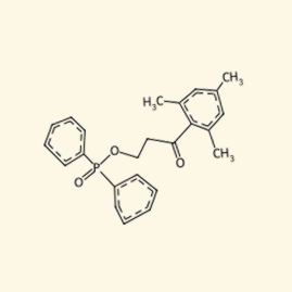 Cc1cc(C)c(C(=O)CCOP(=O)(c2ccccc2)c2ccccc2)c(C)c1